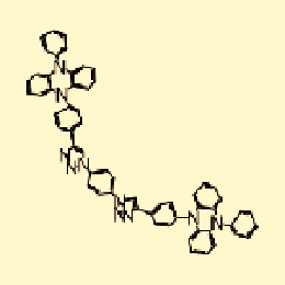 c1ccc(N2c3ccccc3N(c3ccc(-c4cn(-c5ccc(-n6cc(-c7ccc(N8c9ccccc9N(c9ccccc9)c9ccccc98)cc7)nn6)cc5)nn4)cc3)c3ccccc32)cc1